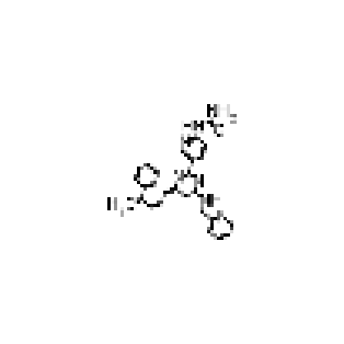 C=C(/C=C\C=C1/CC(NCc2ccccn2)=NC(c2ccc(NC(N)=O)nc2)=N1)c1ccccc1